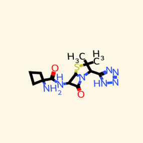 CC1(C)SC2C(NC(=O)C3(N)CCC3)C(=O)N2C1c1nnn[nH]1